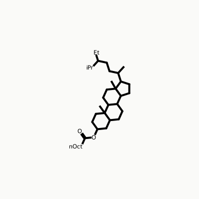 CCCCCCCCC(=O)OC1CCC2(C)C(CCC3C2CCC2(C)C(C(C)CCC(CC)C(C)C)CCC32)C1